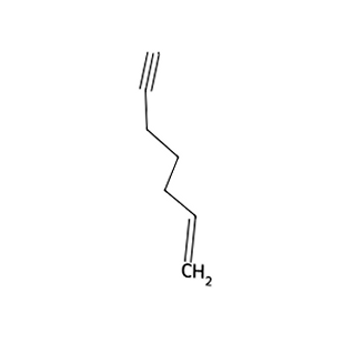 [C]#CCCCC=C